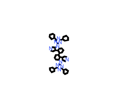 c1ccc(-c2nc(-c3ccccc3)nc(-n3c4cnccc4c4c(-c5cccc6c5c5ccncc5n6-c5nc(-c6ccccc6)nc(-c6ccccc6)n5)cccc43)n2)cc1